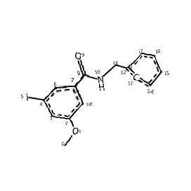 COc1cc(I)cc(C(=O)NCc2ccccc2)c1